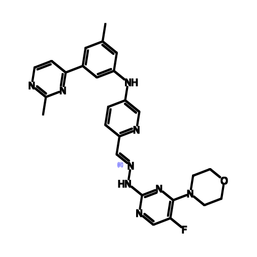 Cc1cc(Nc2ccc(/C=N/Nc3ncc(F)c(N4CCOCC4)n3)nc2)cc(-c2ccnc(C)n2)c1